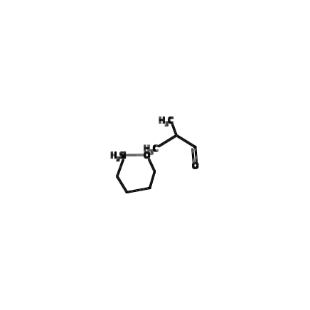 C1CC[SiH2]OC1.CC(C)C=O